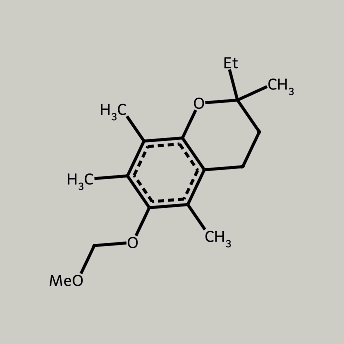 [CH2]CC1(C)CCc2c(C)c(OCOC)c(C)c(C)c2O1